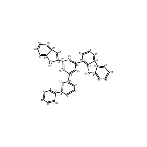 c1ccc(-c2cccc(-c3cc(-c4cccc5c4sc4ccccc45)nc(-c4cc5ccccc5o4)n3)c2)cc1